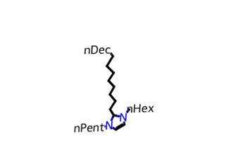 CCCCCCCCCCCCCCCCCCC1N(CCCCC)C=CN1CCCCCC